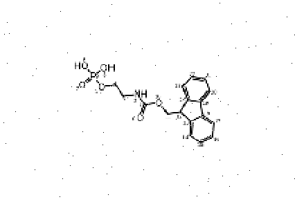 O=C(NCCOP(=O)(O)O)OCC1c2ccccc2-c2ccccc21